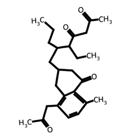 CCCC(CC1CC(=O)c2c(C)ccc(CC(C)=O)c2C1)C(CC)C(=O)CC(C)=O